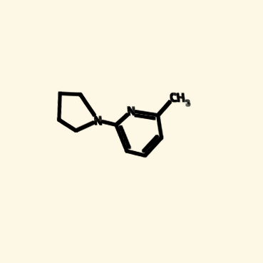 Cc1cccc(N2CCCC2)n1